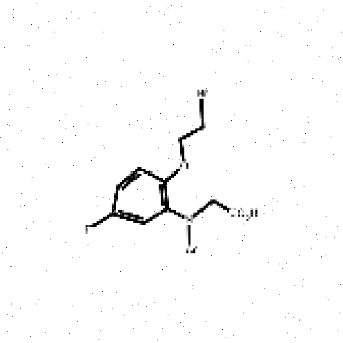 CC(=O)N(CC(=O)O)c1cc(F)ccc1OCCBr